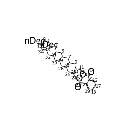 CCCCCCCCCCCCCCCCCCCCCOC(=O)c1ccccc1C(=O)OCCCCCCCCCCCCCCCCCCCCC